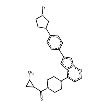 CCN1CCC(c2ccc(-c3cc4c(N5CCN(C(=O)C6C[C@@H]6C)CC5)ccnn4c3)cc2)C1